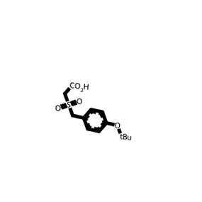 CC(C)(C)Oc1ccc(CS(=O)(=O)CC(=O)O)cc1